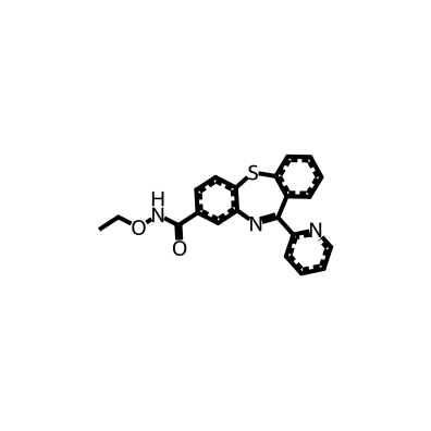 CCONC(=O)c1ccc2c(c1)N=C(c1ccccn1)c1ccccc1S2